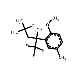 COc1ccc(C)cc1C(O)(CC(C)(C)C)C(F)(F)F